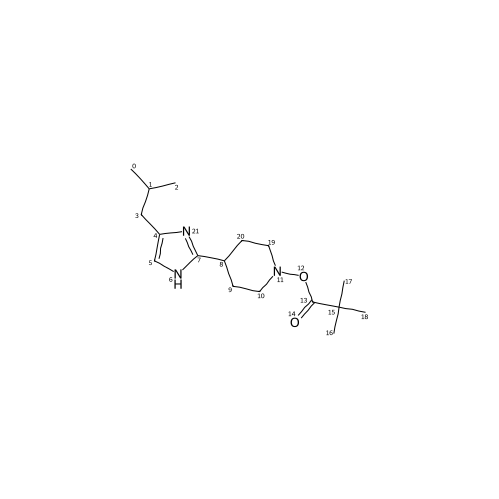 CC(C)Cc1c[nH]c(C2CCN(OC(=O)C(C)(C)C)CC2)n1